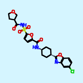 O=C(N[C@H]1CC[C@@H](c2nc3cc(Cl)ccc3o2)CC1)c1ccc(S(=O)(=O)NC(=O)C2CCOC2)o1